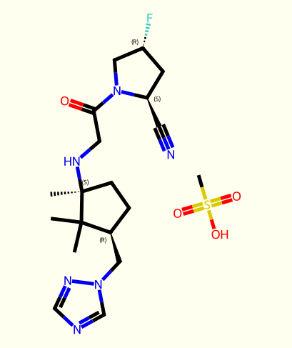 CC1(C)[C@H](Cn2cncn2)CC[C@]1(C)NCC(=O)N1C[C@H](F)C[C@H]1C#N.CS(=O)(=O)O